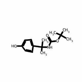 CC(C)(C)OC(=O)NC(C)(C)c1ccc(O)cc1